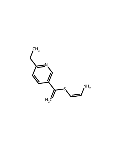 C=C(S/C=C\N)c1ccc(CC)nc1